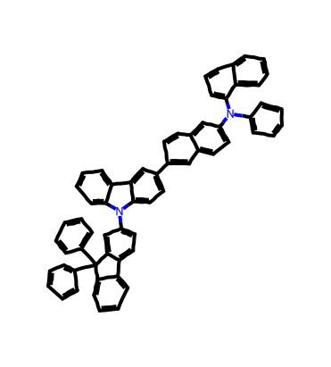 c1ccc(N(c2ccc3cc(-c4ccc5c(c4)c4ccccc4n5-c4ccc5c(c4)C(c4ccccc4)(c4ccccc4)c4ccccc4-5)ccc3c2)c2cccc3ccccc23)cc1